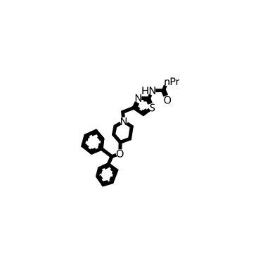 CCCC(=O)Nc1nc(CN2CCC(OC(c3ccccc3)c3ccccc3)CC2)cs1